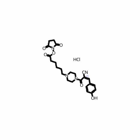 Cl.N#C/C(=C/c1ccc(O)cc1)C(=O)N1CCN(CCCCCC(=O)ON2C(=O)CCC2=O)CC1